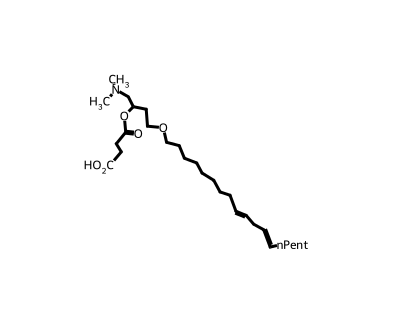 CCCCCC=CCC=CCCCCCCCCOCCC(CN(C)C)OC(=O)CCC(=O)O